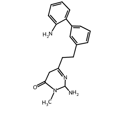 CN1C(=O)CC(CCc2cccc(-c3ccccc3N)c2)=NC1N